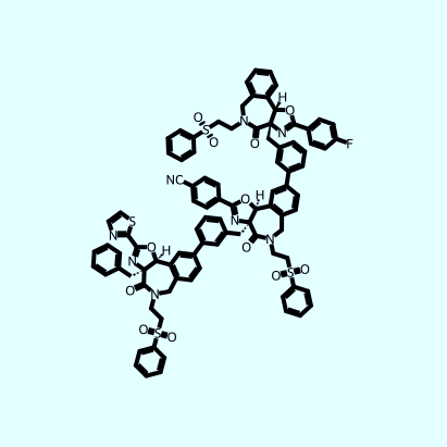 N#Cc1ccc(C2=N[C@]3(Cc4cccc(-c5ccc6c(c5)[C@@H]5OC(c7nccs7)=N[C@]5(Cc5ccccc5)C(=O)N(CCS(=O)(=O)c5ccccc5)C6)c4)C(=O)N(CCS(=O)(=O)c4ccccc4)Cc4ccc(-c5cccc(C[C@]67N=C(c8ccc(F)cc8)O[C@H]6c6ccccc6CN(CCS(=O)(=O)c6ccccc6)C7=O)c5)cc4[C@@H]3O2)cc1